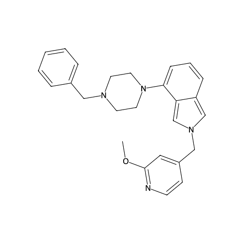 COc1cc(Cn2cc3cccc(N4CCN(Cc5ccccc5)CC4)c3c2)ccn1